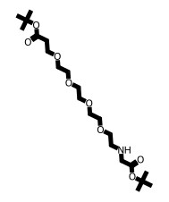 CC(C)(C)OC(=O)CCOCCOCCOCCOCCNCC(=O)OC(C)(C)C